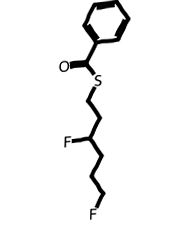 O=C(SCCC(F)CCCF)c1ccccc1